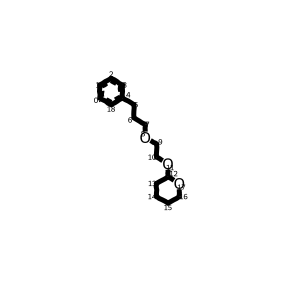 [c]1cccc(CCCOCCOC2CCCCO2)c1